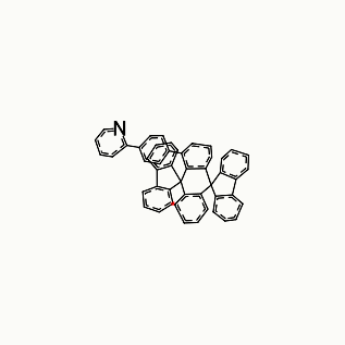 c1ccc(-c2ccc(-c3cccc4c3C3(c5ccccc5-c5ccccc53)c3ccccc3C43c4ccccc4-c4ccccc43)cc2)nc1